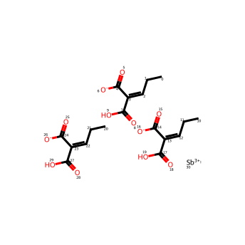 CC/C=C(\C(=O)[O-])C(=O)O.CC/C=C(\C(=O)[O-])C(=O)O.CC/C=C(\C(=O)[O-])C(=O)O.[Sb+3]